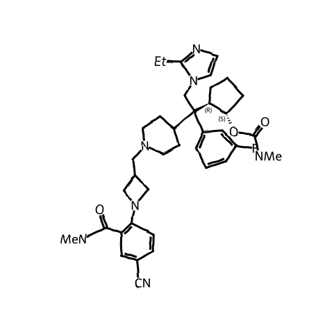 CCc1nccn1CC(c1cccc(F)c1)(C1CCN(CC2CN(c3ccc(C#N)cc3C(=O)NC)C2)CC1)[C@H]1CCC[C@@H]1OC(=O)NC